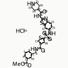 COC(=O)c1cccc(CNC(=O)c2csc(S(=O)(=O)Nc3ccc4nc(NC(=O)C5CCNCC5)sc4c3)c2)c1.Cl